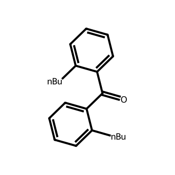 CCCCc1ccccc1C(=O)c1ccccc1CCCC